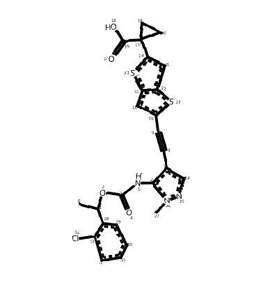 CC(OC(=O)Nc1c(C#Cc2cc3sc(C4(C(=O)O)CC4)cc3s2)cnn1C)c1ccccc1Cl